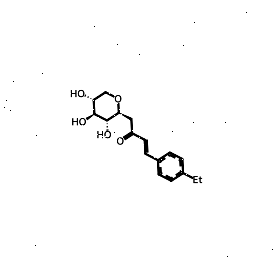 CCc1ccc(/C=C/C(=O)C[C@@H]2OC[C@@H](O)[C@H](O)[C@H]2O)cc1